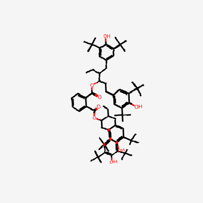 CCC(Cc1cc(C(C)(C)C)c(O)c(C(C)(C)C)c1)C(CCc1cc(C(C)(C)C)c(O)c(C(C)(C)C)c1)OC(=O)c1ccccc1C(=O)OC(CCc1cc(C(C)(C)C)c(O)c(C(C)(C)C)c1)C(CC)Cc1cc(C(C)(C)C)c(O)c(C(C)(C)C)c1